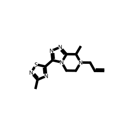 C=CCN1CCn2c(-c3nc(C)ns3)nnc2C1C